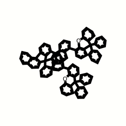 c1ccc(C2(c3ccccc3)c3ccccc3Oc3c(-c4cccc5c(-c6cccc7c6C6(c8ccccc8-c8ccccc86)c6ccc8ccccc8c6-7)c6cccc(-c7cccc8c7Oc7ccccc7C8(c7ccccc7)c7ccccc7)c6cc45)cccc32)cc1